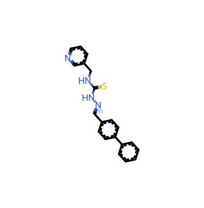 S=C(NCc1cccnc1)N/N=C/c1ccc(-c2ccccc2)cc1